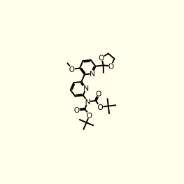 COc1ccc(C2(C)OCCO2)nc1-c1cccc(N(C(=O)OC(C)(C)C)C(=O)OC(C)(C)C)n1